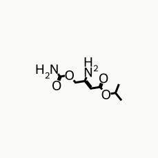 CC(C)OC(=O)C=C(N)COC(N)=O